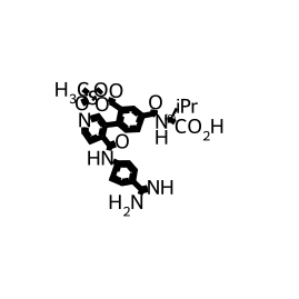 CC(C)[C@H](NC(=O)c1ccc(-c2cnccc2C(=O)Nc2ccc(C(=N)N)cc2)c(C(=O)OS(C)(=O)=O)c1)C(=O)O